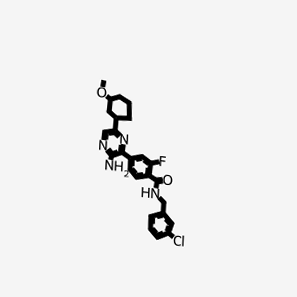 COC1CCCC(c2cnc(N)c(-c3ccc(C(=O)NCc4cccc(Cl)c4)c(F)c3)n2)C1